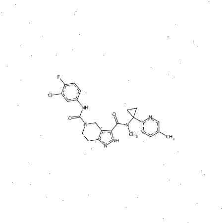 Cc1cnc(C2(N(C)C(=O)c3[nH]nc4c3CN(C(=O)Nc3ccc(F)c(Cl)c3)CC4)CC2)nc1